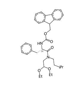 CCOC(CN(CCC(C)C)C(=O)[C@H](Cc1ccccc1)NC(=O)OCC1c2ccccc2-c2ccccc21)OCC